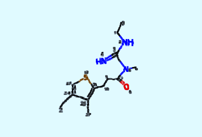 CCNC(=N)N(C)C(=O)CCc1scc(C)c1C